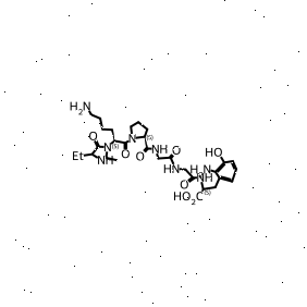 CCC1NC(C)N([C@@H](CCCCN)C(=O)N2CCC[C@H]2C(=O)NCC(=O)NCC(=O)N[C@@H](Cc2cccc(O)c2N)C(=O)O)C1=O